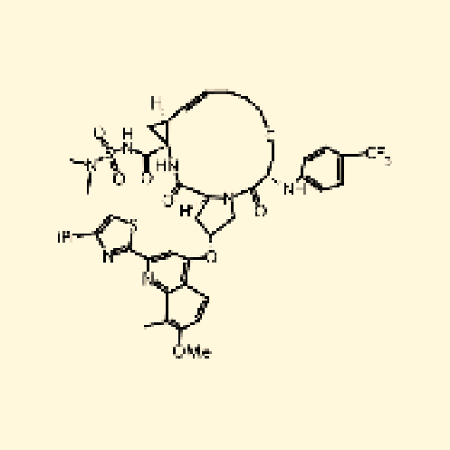 COc1ccc2c(O[C@@H]3C[C@H]4C(=O)N[C@]5(C(=O)NS(=O)(=O)N(C)C)C[C@H]5/C=C\CCCCC[C@H](Nc5ccc(C(F)(F)F)cc5)C(=O)N4C3)cc(-c3nc(C(C)C)cs3)nc2c1C